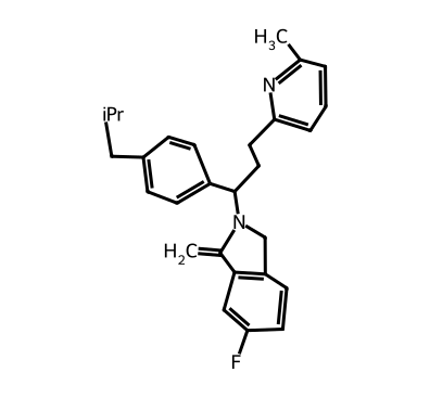 C=C1c2cc(F)ccc2CN1C(CCc1cccc(C)n1)c1ccc(CC(C)C)cc1